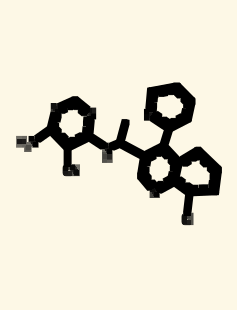 CC(Nc1ncnc(N)c1C#N)c1cnc2c(Cl)cccc2c1-c1ccccn1